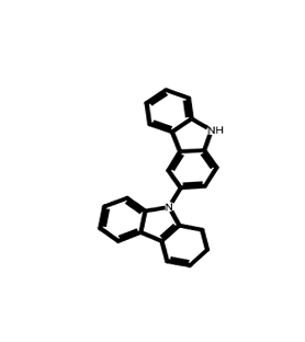 C1=Cc2c(n(-c3ccc4[nH]c5ccccc5c4c3)c3ccccc23)CC1